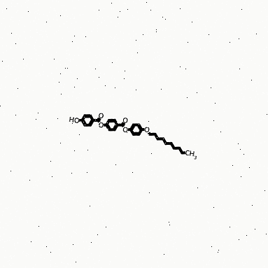 CCCCCCCCCCOc1ccc(OC(=O)c2ccc(OC(=O)c3ccc(O)cc3)cc2)cc1